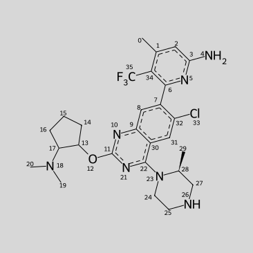 Cc1cc(N)nc(-c2cc3nc(OC4CCCC4N(C)C)nc(N4CCNC[C@@H]4C)c3cc2Cl)c1C(F)(F)F